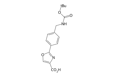 CC(C)(C)OC(=O)NCc1ccc(-c2nc(C(=O)O)co2)cc1